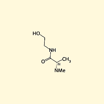 CN[C@@H](C)C(=O)NCCO